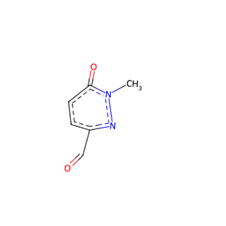 Cn1nc(C=O)ccc1=O